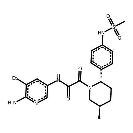 CCc1cc(NC(=O)C(=O)N2C[C@H](C)CC[C@H]2c2ccc(NS(C)(=O)=O)cc2)cnc1N